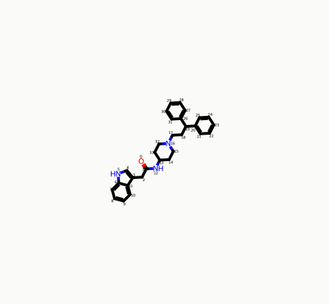 O=C(Cc1c[nH]c2ccccc12)NC1CCN(CCC(c2ccccc2)c2ccccc2)CC1